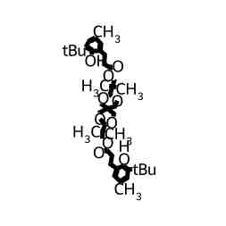 Cc1cc(CCC(=O)OCC(C)(C)C2OCC3(CO2)COC(C(C)(C)COC(=O)CCc2cc(C)cc(C(C)(C)C)c2O)OC3)c(O)c(C(C)(C)C)c1